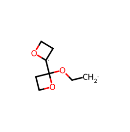 [CH2]COC1([C]2CCO2)CCO1